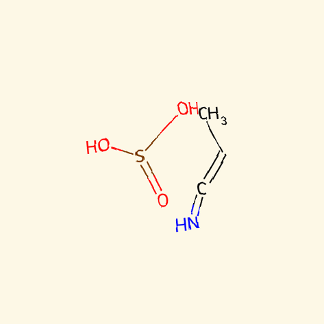 CC=C=N.O=S(O)O